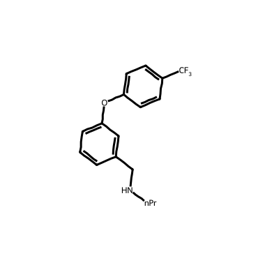 CCCNCc1cccc(Oc2ccc(C(F)(F)F)cc2)c1